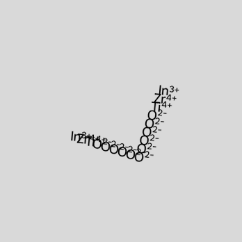 [In+3].[In+3].[O-2].[O-2].[O-2].[O-2].[O-2].[O-2].[O-2].[O-2].[O-2].[O-2].[O-2].[Ti+4].[Ti+4].[Zr+4].[Zr+4]